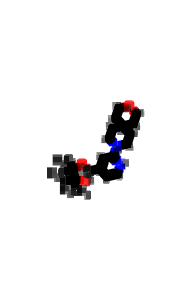 CC1(C)OB(c2ccnc(N3CCC4(CCOCC4)CC3)c2)OC1(C)C